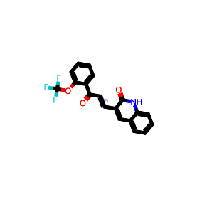 O=C(/C=C/c1cc2ccccc2[nH]c1=O)c1ccccc1OC(F)(F)F